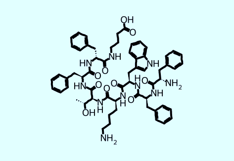 C[C@@H](O)[C@H](NC(=O)[C@H](CCCCN)NC(=O)[C@@H](Cc1c[nH]c2ccccc12)NC(=O)[C@H](Cc1ccccc1)NC(=O)[C@@H](N)Cc1ccccc1)C(=O)N[C@@H](Cc1ccccc1)C(=O)N[C@H](Cc1ccccc1)C(=O)NCCCC(=O)O